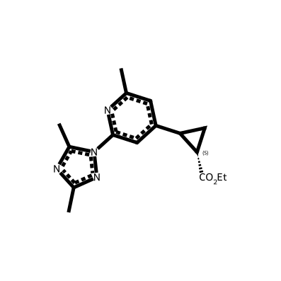 CCOC(=O)[C@H]1CC1c1cc(C)nc(-n2nc(C)nc2C)c1